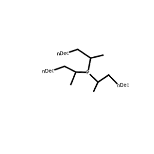 CCCCCCCCCCCC(C)P(C(C)CCCCCCCCCCC)C(C)CCCCCCCCCCC